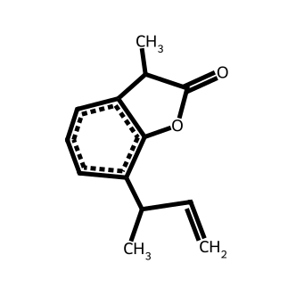 C=CC(C)c1cccc2c1OC(=O)C2C